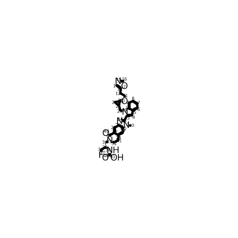 Cn1c(-c2cc3cccc(OCCc4cnco4)c3n2CC2CC2)nc2cc3c(cc21)CCN(C[C@@H](CF)NC(=O)O)C3=O